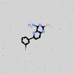 Bc1nc(N)c2nc(-c3cccc(I)c3)ccc2n1